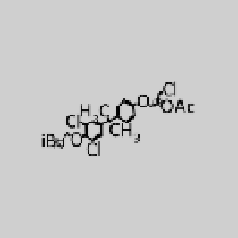 CC[C@H](C)COc1c(Cl)cc(C(C)(C)c2ccc(OC[C@@H](CCl)OC(C)=O)cc2)cc1Cl